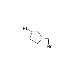 CCC1CCC(CBr)C1